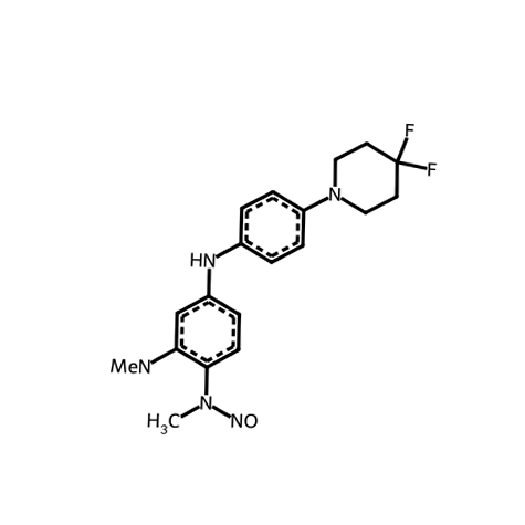 CNc1cc(Nc2ccc(N3CCC(F)(F)CC3)cc2)ccc1N(C)N=O